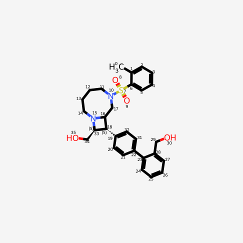 Cc1ccccc1S(=O)(=O)N1CCCCN2C(C1)[C@H](c1ccc(-c3ccccc3CO)cc1)[C@H]2CO